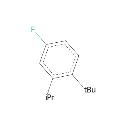 CC(C)c1cc(F)ccc1C(C)(C)C